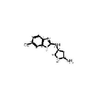 NC1CC(Nc2nc3ccc(Cl)cc3s2)CO1